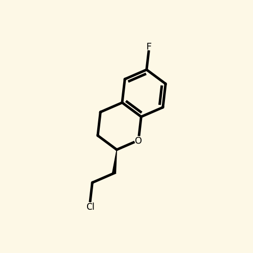 Fc1ccc2c(c1)CC[C@H](CCCl)O2